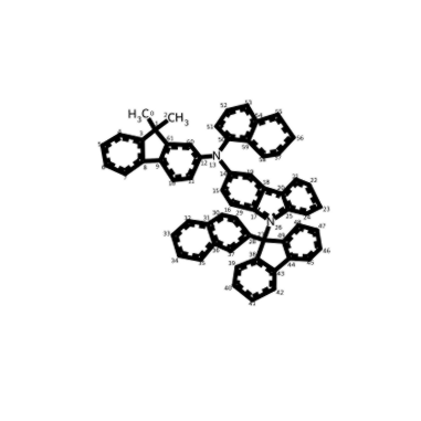 CC1(C)c2ccccc2-c2ccc(N(c3ccc4c(c3)c3ccccc3n4C3(c4ccc5ccccc5c4)c4ccccc4-c4ccccc43)c3cccc4ccccc34)cc21